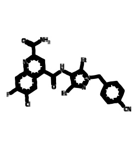 CCc1nn(Cc2ccc(C#N)cc2)c(CC)c1NC(=O)c1cc(C(N)=O)nc2cc(F)c(Cl)cc12